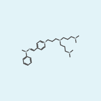 CN(C)CCCN(CCCN(C)C)CCC[n+]1ccc(C=NN(C)c2ccccc2)cc1